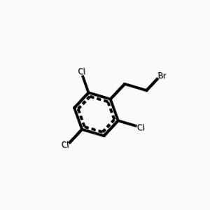 Clc1cc(Cl)c(CCBr)c(Cl)c1